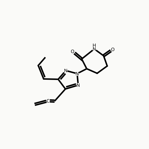 C=C=Cc1nn(C2CCC(=O)NC2=O)nc1/C=C\C